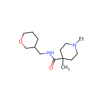 CCN1CCC(C)(C(=O)NCC2CCCOC2)CC1